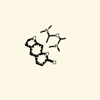 CC(OC(C)N(C)C)N(C)C.O=c1ccc2cc3ccoc3cc2o1